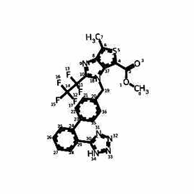 COC(=O)c1sc(C)c2nc(C(F)(F)C(F)(F)F)n(Cc3ccc(-c4ccccc4-c4nnn[nH]4)cc3)c12